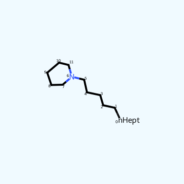 [CH2]CCCCCCCCCCCN1CCCCC1